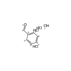 Cl.Cl.Cl.Cl.O=Cc1ccccc1